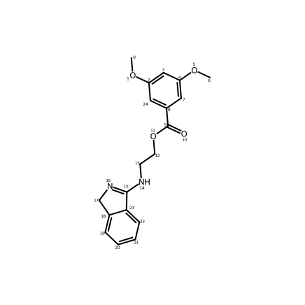 COc1cc(OC)cc(C(=O)OCCNC2=NCc3ccccc32)c1